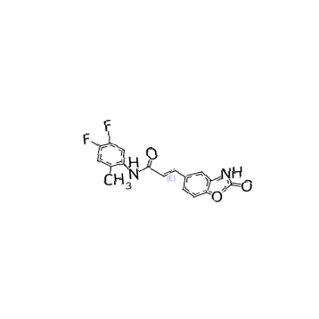 Cc1cc(F)c(F)cc1NC(=O)/C=C/c1ccc2oc(=O)[nH]c2c1